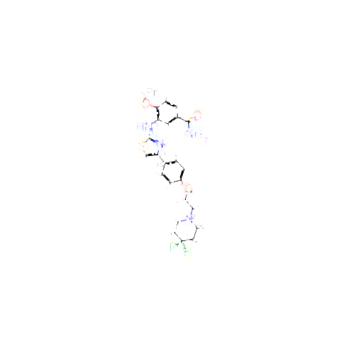 CC(C)Oc1ccc(C(N)=O)cc1Nc1nc(-c2ccc(OCCN3CCC(F)(F)CC3)cc2)cs1